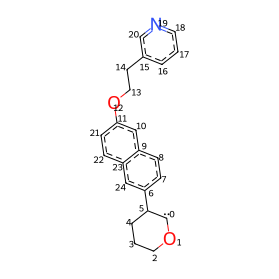 [C]1OCCCC1c1ccc2cc(OCCc3cccnc3)ccc2c1